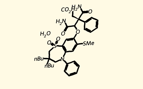 CCCCC1(CCCC)CN(c2ccccc2)c2cc(SC)c(OC(C(N)=O)[C@](CC(=O)O)(C(N)=O)c3ccccc3)cc2S(=O)(=O)C1.O